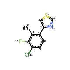 CC(C)c1c(-c2cscn2)ccc(Cl)c1F